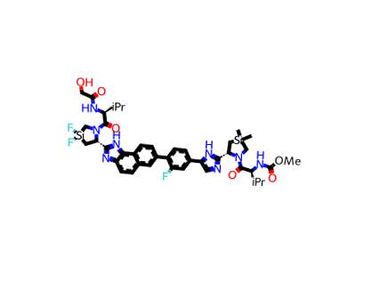 COC(=O)N[C@H](C(=O)N1C[Si](C)(C)C[C@H]1c1ncc(-c2ccc(-c3ccc4c(ccc5nc([C@@H]6C[Si](F)(F)CN6C(=O)[C@@H](NC(=O)CO)C(C)C)[nH]c54)c3)c(F)c2)[nH]1)C(C)C